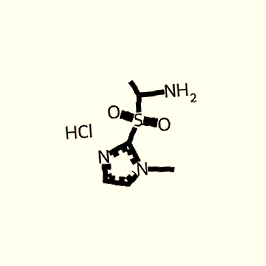 CC(N)S(=O)(=O)c1nccn1C.Cl